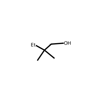 [CH2]CC(C)(C)[CH]O